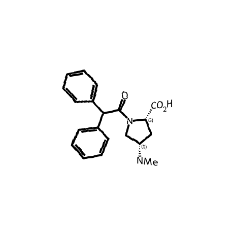 CN[C@H]1C[C@@H](C(=O)O)N(C(=O)C(c2ccccc2)c2ccccc2)C1